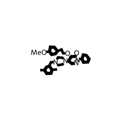 COc1ccc(CCOc2c(N3CCN(Cc4cc(C)ccc4C)CC3)cnn(-c3ccccc3)c2=O)cc1